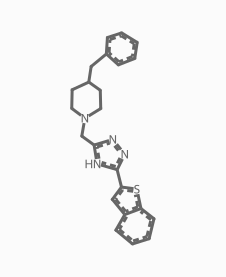 c1ccc(CC2CCN(Cc3nnc(-c4cc5ccccc5s4)[nH]3)CC2)cc1